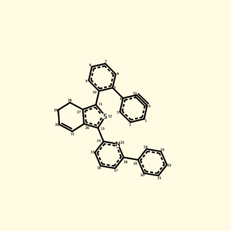 c1cccc(-c2ccccc2-c2sc(-c3cccc(-c4ccccc4)n3)c3c2CCC=C3)c#1